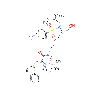 CC(C)CN([C@H](CO)CCCCNC(=O)[C@H](Cc1ccc2ccccc2c1)NC(=O)C(C)(C)C)S(=O)(=O)c1ccc(N)cc1